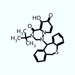 CC(C)(C)N1CN(C2c3ccccc3CSc3ccccc32)n2ccc(=O)c(O)c2C1=O